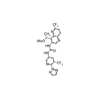 COC(C)c1c(NC(=O)Nc2cnc(-n3nccn3)c(C(F)(F)F)c2)cnc2ccc(C(F)(F)F)nc12